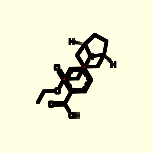 CCOC(=O)CC1C[C@H]2CC[C@@H](C1)N2c1ccc(C(=O)O)cc1